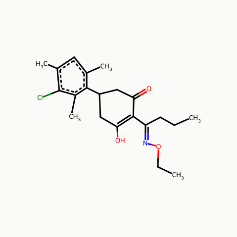 CCC/C(=N\OCC)C1=C(O)CC(c2c(C)cc(C)c(Cl)c2C)CC1=O